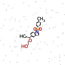 C#CC(OCCO)c1ccc2c(ccn2S(=O)(=O)c2ccc(C)cc2)c1